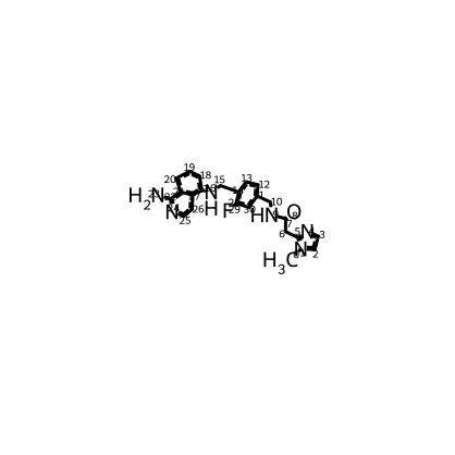 Cn1ccnc1CC(=O)NCc1ccc(CNc2cccc3c(N)nccc23)c(F)c1